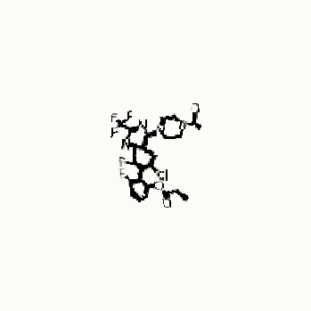 C=CC(=O)Oc1cccc(F)c1-c1c(Cl)cc2c(N3CCN(C(C)=O)CC3)nc(C(F)(F)F)nc2c1F